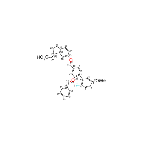 COc1ccc(F)c(-c2ccc(COc3ccc4c(c3)[C@@H](CC(=O)O)CC4)cc2OCc2ccccc2)c1